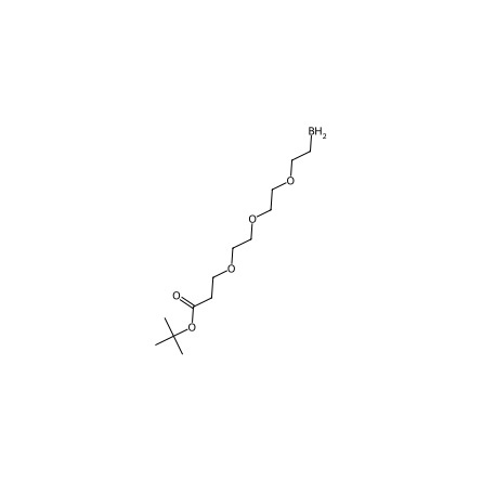 BCCOCCOCCOCCC(=O)OC(C)(C)C